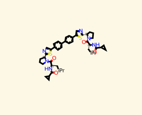 CC(C)C[C@@H](NC(=O)C1CC1)C(=O)N1CCC[C@H]1c1ncc(-c2ccc(-c3ccc(-c4cnc([C@@H]5CCCN5C(=O)[C@@H](CC(C)C)NC(=O)C5CC5)s4)cc3)cc2)s1